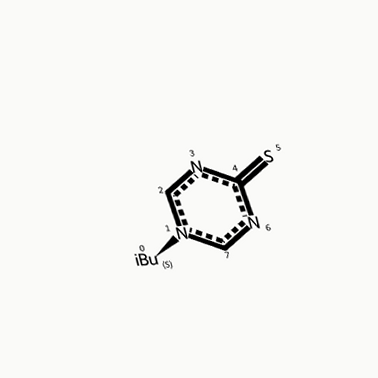 CC[C@H](C)n1cnc(=S)nc1